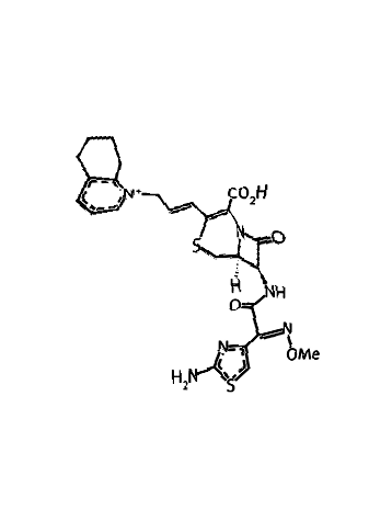 CON=C(C(=O)N[C@@H]1C(=O)N2C(C(=O)O)=C(C=CC[n+]3cccc4c3CCCC4)SC[C@H]12)c1csc(N)n1